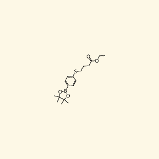 CCOC(=O)CCCSc1ccc(B2OC(C)(C)C(C)(C)O2)cc1